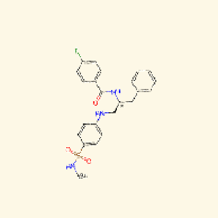 CC(C)(C)NS(=O)(=O)c1ccc(NC[C@H](Cc2ccccc2)NC(=O)c2ccc(F)cc2)cc1